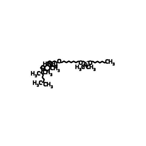 CCCCCCCOC[C@@H](COCCCCCCCCOC1CCC2(C)C(=CC[C@H]3[C@@H]4CC[C@H]([C@H](C)CCCC(C)C)C4(C)CC[C@@]32N)C1)N(C)C